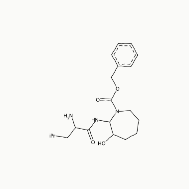 CC(C)CC(N)C(=O)NC1C(O)CCCCN1C(=O)OCc1ccccc1